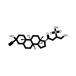 C#CC1(O)CC[C@@]2(C)C(CC[C@H]3[C@@H]4CC[C@H](C(=O)CC(CS)S(=O)(=O)O)[C@@]4(C)CC[C@@H]32)C1